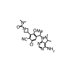 COc1c(C(C)N2c3ncnc(N)c3C(C)N2C)cc(Cl)c(C#N)c1C1CN(C(=O)N(C)C)C1